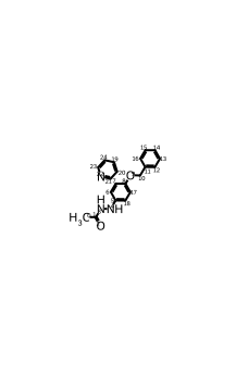 CC(=O)NNc1ccc(OCc2ccccc2)cc1.c1ccncc1